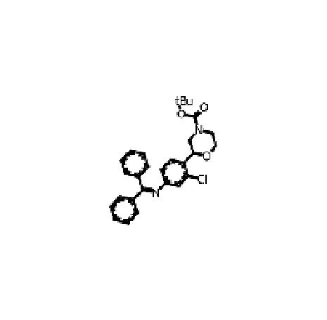 CC(C)(C)OC(=O)N1CCOC(c2ccc(N=C(c3ccccc3)c3ccccc3)cc2Cl)C1